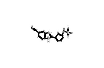 CS(=O)(=O)Nc1cccc(-c2nc3cc(C#N)ccc3[nH]2)c1